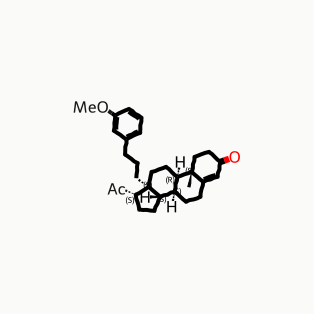 COc1cccc(CCC[C@]23CC[C@@H]4[C@@H](CCC5=CC(=O)CC[C@]54C)[C@@H]2CC[C@@H]3C(C)=O)c1